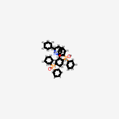 O=P(c1ccccc1)(c1ccccc1)c1ccc(P(=O)(c2ccccc2)c2ccccc2)c(-c2cccc(-c3ccccc3)n2)c1